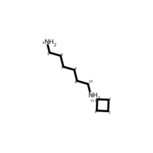 C1CCC1.NCCCCCCN